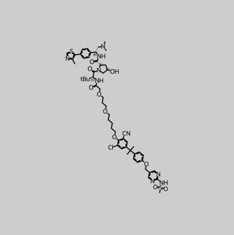 Cc1ncsc1-c1ccc([C@H](CN(C)C)NC(=O)[C@@H]2C[C@@H](O)CN2C(=O)[C@@H](NC(=O)COCCCOCCCCCOc2c(Cl)cc(C(C)(C)c3ccc(OCc4cnc(NS(C)(=O)=O)nc4)cc3)cc2C#N)C(C)(C)C)cc1